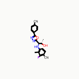 Cc1c(N[C@@H](c2nnc(-c3ccc(C#N)cc3)o2)[C@H](C)O)ccc(C#N)c1I